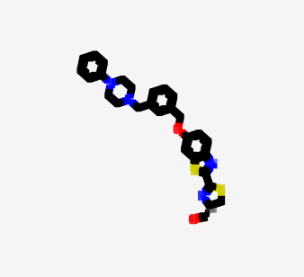 O=C[C@H]1CSC(c2nc3ccc(OCc4cccc(CN5CCN(c6ccccc6)CC5)c4)cc3s2)=N1